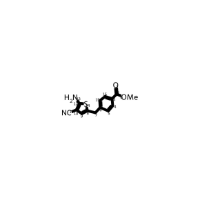 COC(=O)c1ccc(Cc2cc(C#N)c(N)s2)cc1